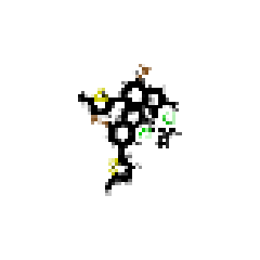 CC1=Cc2c(Br)cc(-c3ccc(C)s3)cc2[CH]1[Zr]([Cl])([Cl])([CH]1C(C)=Cc2c(Br)cc(-c3ccc(C)s3)cc21)[SiH](C)C